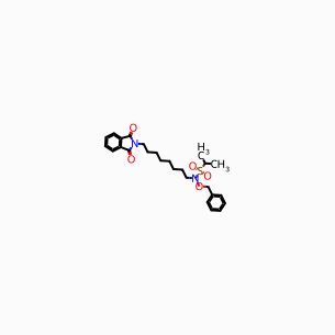 CC(C)S(=O)(=O)N(CCCCCCCCN1C(=O)c2ccccc2C1=O)OCc1ccccc1